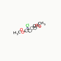 CC(=O)O[C@H]1CC[C@@]2(/C=C/Cl)C(=CCC3C2CC[C@@]2(C)C3CC[C@@H]2OC(C)=O)C1